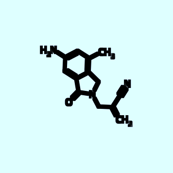 C=C(C#N)CN1Cc2c(C)cc(N)cc2C1=O